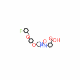 O=C(O)c1cccc(NC(=O)N2CCC(Oc3ccc(OCc4cccc(F)c4)cc3)CC2)c1